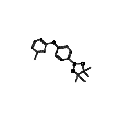 Cc1cccc(Oc2ccc(B3OC(C)(C)C(C)(C)O3)cc2)c1